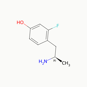 C[C@@H](N)Cc1ccc(O)cc1F